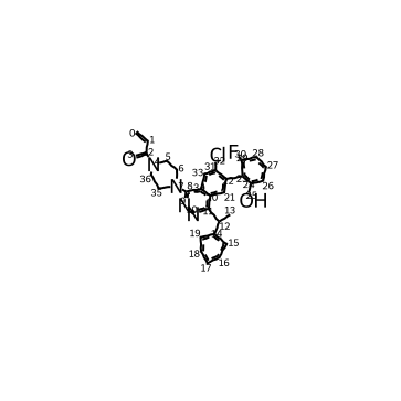 C=CC(=O)N1CCN(c2nnc(C(C)c3ccccc3)c3cc(-c4c(O)cccc4F)c(Cl)cc23)CC1